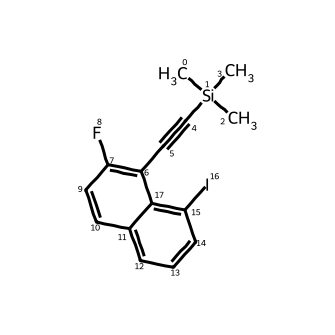 C[Si](C)(C)C#Cc1c(F)ccc2cccc(I)c12